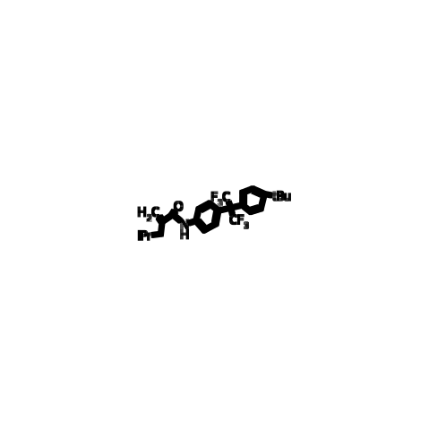 C=C(CC(C)C)C(=O)Nc1ccc(C(c2ccc(C(C)(C)C)cc2)(C(F)(F)F)C(F)(F)F)cc1